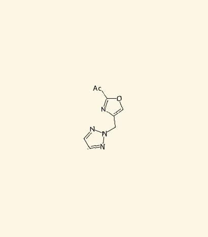 CC(=O)c1nc(Cn2n[c]cn2)co1